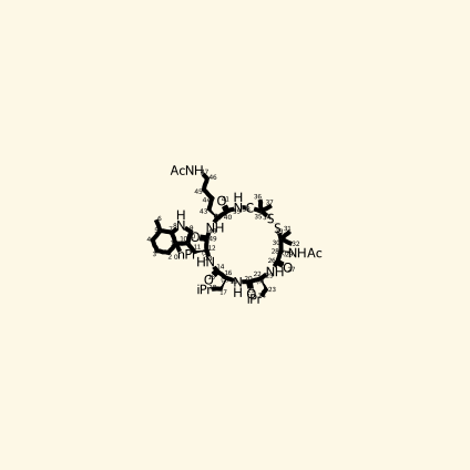 CCCC12CCCC(C)C1NCC2C[C@@H]1NC(=O)[C@H](CC(C)C)NC(=O)[C@H](CC(C)C)NC(=O)[C@@H](NC(C)=O)C(C)(C)SSC(C)(C)CNC(=O)[C@H](CCCCNC(C)=O)NC1=O